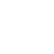 CN=C=NCCCN1CCOCC1